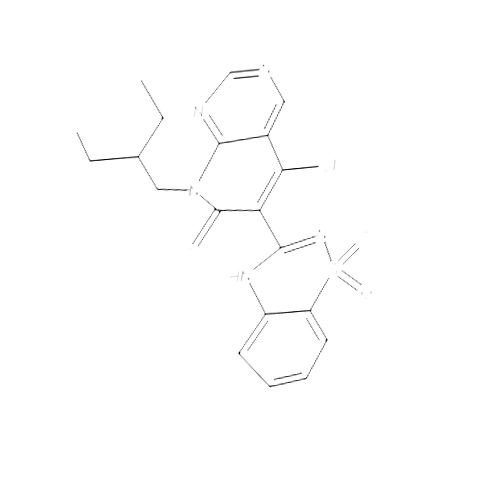 CCC(CC)Cn1c(=O)c(C2=NS(=O)(=O)c3ccccc3N2)c(O)c2cncnc21